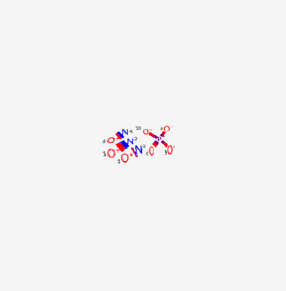 N#[O+].N#[O+].N#[O+].O=P([O-])([O-])[O-]